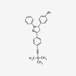 CC(C)c1ccc(C2CC(c3ccc(C#C[Si](C)(C)C)cc3)=NN2c2ccccc2)cc1